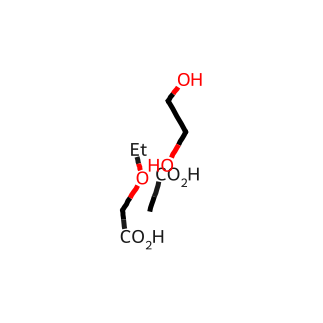 CC(=O)O.CCOCC(=O)O.OCCO